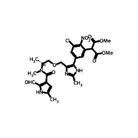 COC(=O)C(C(=O)OC)c1cc(-c2[nH]c(C)nc2COC[C@@H](C)N(C)C(=O)c2cc(C)[nH]c2C=O)cc(Cl)c1[N+](=O)[O-]